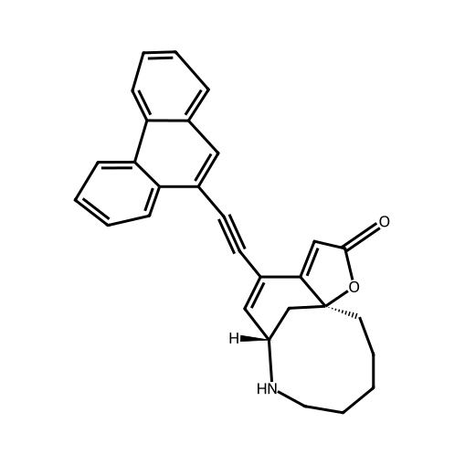 O=C1C=C2C(C#Cc3cc4ccccc4c4ccccc34)=C[C@@H]3C[C@]2(CCCCCN3)O1